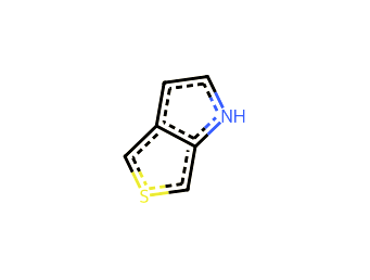 c1cc2cscc2[nH]1